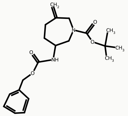 C=C1CCC(NC(=O)OCc2ccccc2)CN(C(=O)OC(C)(C)C)C1